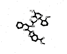 COC(=O)c1ccc2oc(C(=O)C(=Cc3ccccc3)NC(=O)Cn3c(-c4ccccc4OC)ncc(N)c3=O)nc2c1